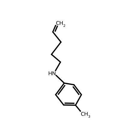 C=CCCCNc1ccc(C)cc1